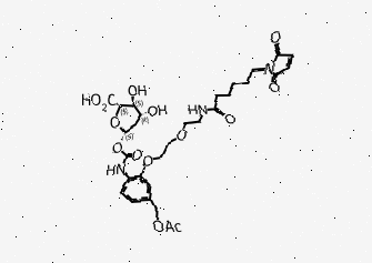 CC(=O)OCc1ccc(NC(=O)O[C@H]2C[C@@H](O)[C@H](O)[C@@H](C(=O)O)O2)c(OCCOCCNC(=O)CCCCCN2C(=O)C=CC2=O)c1